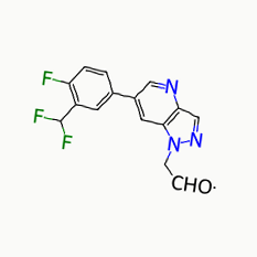 O=[C]Cn1ncc2ncc(-c3ccc(F)c(C(F)F)c3)cc21